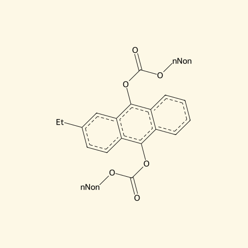 CCCCCCCCCOC(=O)Oc1c2ccccc2c(OC(=O)OCCCCCCCCC)c2cc(CC)ccc12